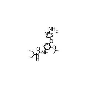 CCC(CC)NC(=O)Nc1ccc(Oc2cnc(N)s2)c(OC(C)C)c1